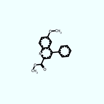 COC(=O)c1cc(-c2ccccc2)c2cc(OC)ccc2n1